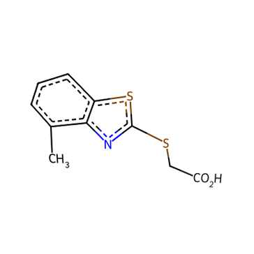 Cc1cccc2sc(SCC(=O)O)nc12